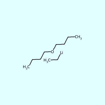 CCCCOCCCC.[Li][CH2]C